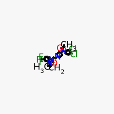 C=C(C)n1c(=O)n(CCN2CCC(N(C(=O)CC)c3ccc(Cl)c(Cl)c3)CC2)c2ccc(C(F)(F)F)cc21